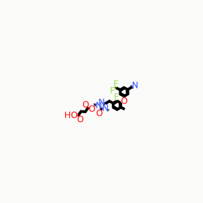 Cc1ccc(Cc2nn(COC(=O)CCC(=O)O)c(=O)n2C)c(F)c1Oc1cc(C#N)cc(C(F)F)c1